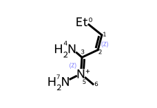 CC/C=C\C(N)=[N+](/C)N